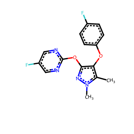 Cc1c(Oc2ccc(F)cc2)c(Oc2ncc(F)cn2)nn1C